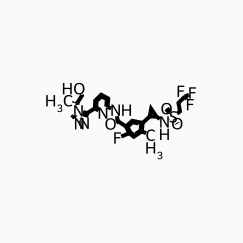 Cc1cc(F)c(C(=O)Nc2cccc(-c3nncn3[C@H](C)CO)n2)cc1C1CC1NS(=O)(=O)CCC(F)(F)F